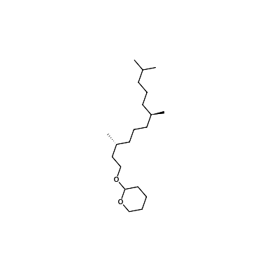 CC(C)CCC[C@@H](C)CCC[C@@H](C)CCOC1CCCCO1